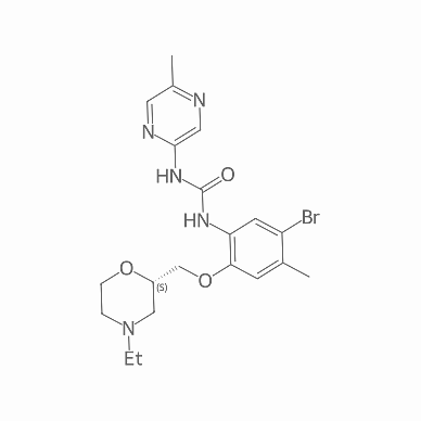 CCN1CCO[C@H](COc2cc(C)c(Br)cc2NC(=O)Nc2cnc(C)cn2)C1